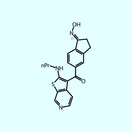 CCCNc1sc2cnccc2c1C(=O)c1ccc2c(c1)CC/C2=N\O